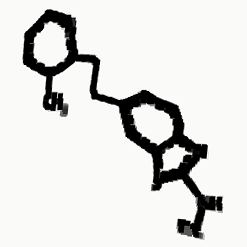 CCNc1nc2ccc(CCc3ncccc3C)cc2s1